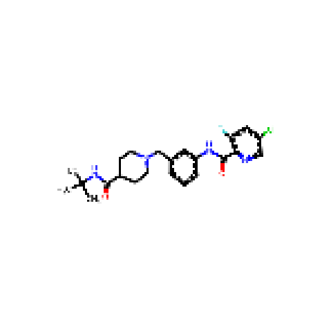 CCC(C)(C)NC(=O)C1CCN(Cc2cccc(NC(=O)c3ncc(Cl)cc3F)c2)CC1